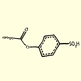 CCCCCCCC(=O)Oc1ccc(S(=O)(=O)O)cc1